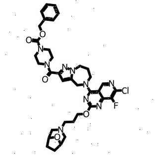 O=C(OCc1ccccc1)N1CCN(C(=O)c2cc3n(n2)CCCN(c2nc(OCCCN4CC5CCC(C4)O5)nc4c(F)c(Cl)ncc24)C3)CC1